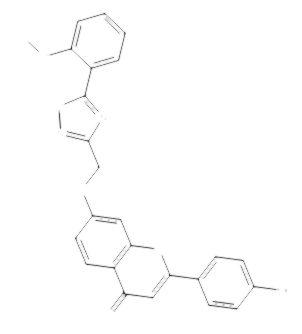 COc1ccccc1-c1nc(COc2ccc3c(=O)cc(-c4ccc(O)cc4)oc3c2)no1